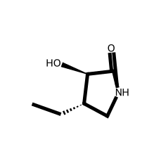 CC[C@H]1CNC(=O)[C@@H]1O